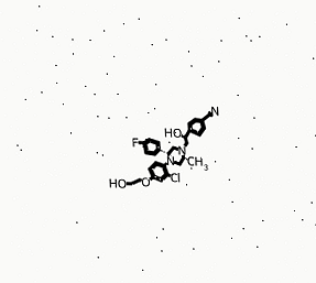 C[C@@H]1CN(c2ccc(OCCO)cc2Cl)[C@H](c2ccc(F)cc2)CN1CC(O)c1ccc(C#N)cc1